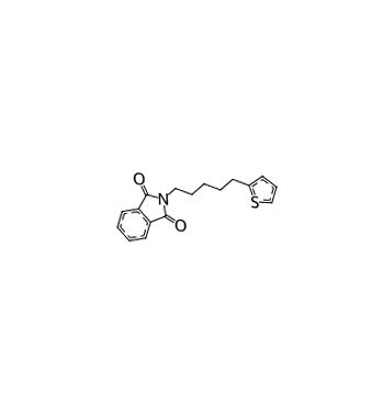 O=C1c2ccccc2C(=O)N1CCCCCc1cccs1